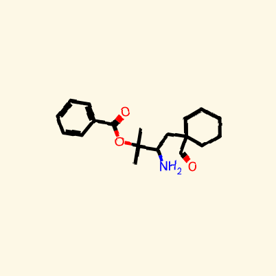 CC(C)(OC(=O)c1ccccc1)C(N)CC1(C=O)CCCCC1